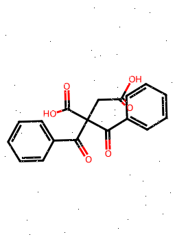 O=C(O)CC(C(=O)O)(C(=O)c1ccccc1)C(=O)c1ccccc1